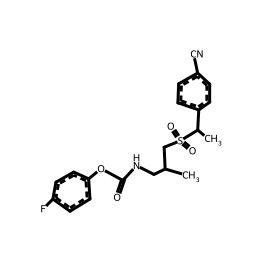 CC(CNC(=O)Oc1ccc(F)cc1)CS(=O)(=O)C(C)c1ccc(C#N)cc1